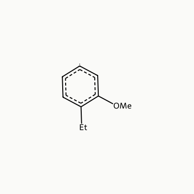 CCc1cc[c]cc1OC